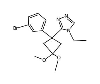 CCn1cnnc1C1(c2cccc(Br)c2)CC(OC)(OC)C1